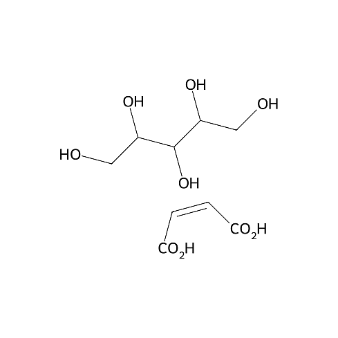 O=C(O)/C=C\C(=O)O.OCC(O)C(O)C(O)CO